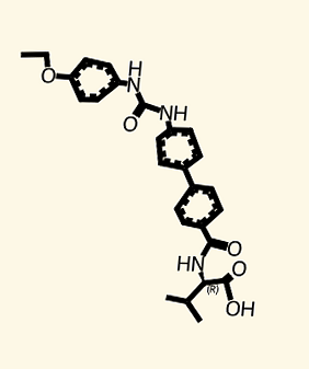 CCOc1ccc(NC(=O)Nc2ccc(-c3ccc(C(=O)N[C@@H](C(=O)O)C(C)C)cc3)cc2)cc1